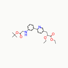 CCOC(=O)C(Cc1ccc(-c2cccc(NCC(=O)OC(C)(C)C)c2)nc1)OCC